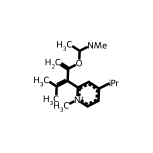 C=C(OC(C)NC)C(=C(C)C)c1cc(C(C)C)cc[n+]1C